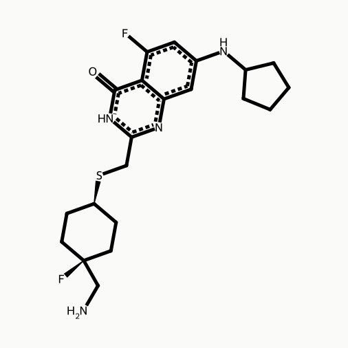 NC[C@]1(F)CC[C@@H](SCc2nc3cc(NC4CCCC4)cc(F)c3c(=O)[nH]2)CC1